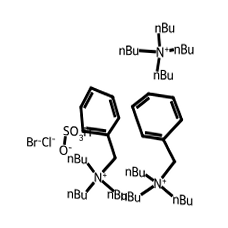 CCCC[N+](CCCC)(CCCC)CCCC.CCCC[N+](CCCC)(CCCC)Cc1ccccc1.CCCC[N+](CCCC)(CCCC)Cc1ccccc1.O=S(=O)([O-])O.[Br-].[Cl-]